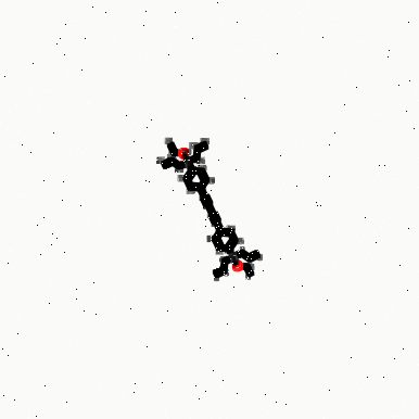 C=CC[Si](CC=C)(OCC)c1ccc(C#CC#Cc2ccc([Si](CC=C)(CC=C)OCC)cc2)cc1